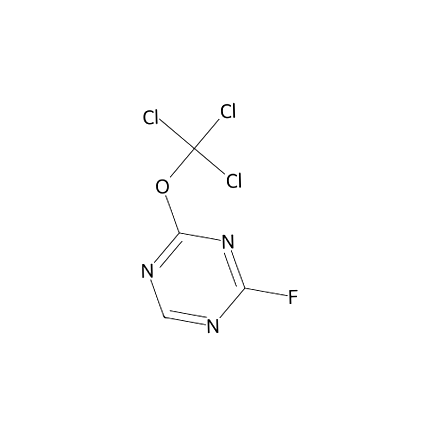 Fc1ncnc(OC(Cl)(Cl)Cl)n1